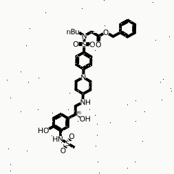 CCCCN(CC(=O)OCc1ccccc1)S(=O)(=O)c1ccc(N2CCC(NC[C@H](O)c3ccc(O)c(NS(C)(=O)=O)c3)CC2)cc1